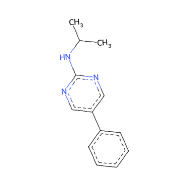 CC(C)Nc1ncc(-c2ccccc2)cn1